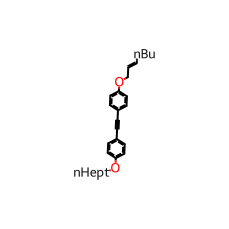 CCCCC=CCOc1ccc(C#Cc2ccc(OCCCCCCC)cc2)cc1